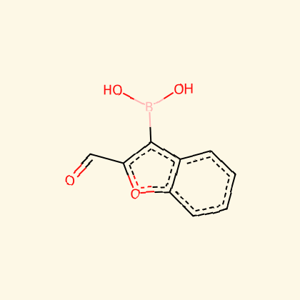 O=Cc1oc2ccccc2c1B(O)O